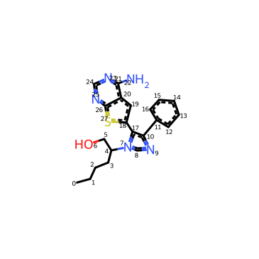 CCCCC(CO)n1cnc(-c2ccccc2)c1-c1cc2c(N)ncnc2s1